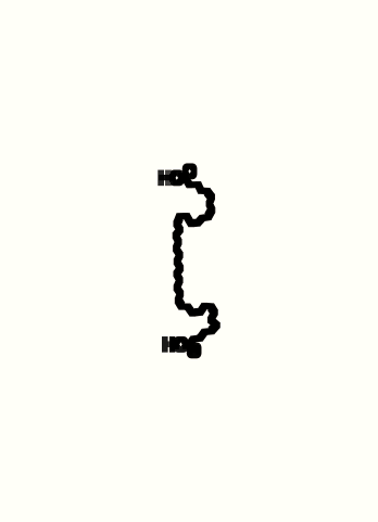 O=C(O)CCC/C=C\C/C=C\C/C=C\C/C=C\CCCCCCCCCCC/C=C\C/C=C\C/C=C\C/C=C\CCCC(=O)O